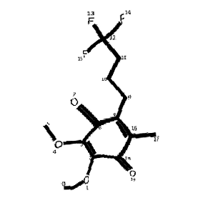 COC1=C(OC)C(=O)C(CCCC(F)(F)F)=C(C)C1=O